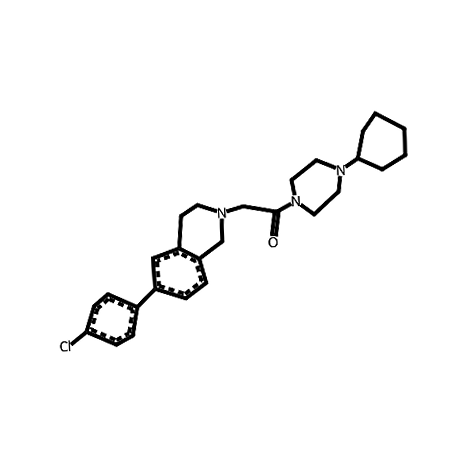 O=C(CN1CCc2cc(-c3ccc(Cl)cc3)ccc2C1)N1CCN(C2CCCCC2)CC1